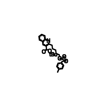 Cc1ccc(S(=O)(=O)OCCCCCc2nc3ccccc3cc2C(=O)OC(C)(C)C)cc1